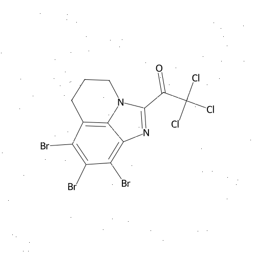 O=C(c1nc2c(Br)c(Br)c(Br)c3c2n1CCC3)C(Cl)(Cl)Cl